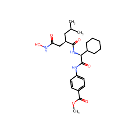 COC(=O)c1ccc(NC(=O)[C@@H](NC(=O)[C@@H](CC(=O)NO)CC(C)C)C2CCCCC2)cc1